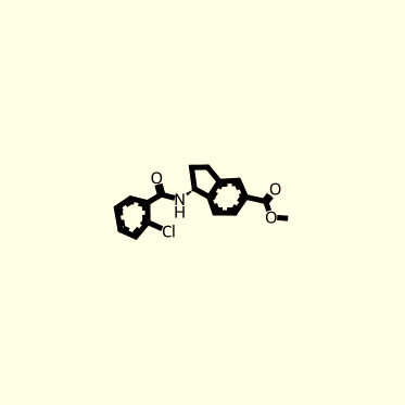 COC(=O)c1ccc2c(c1)CC[C@H]2NC(=O)c1ccccc1Cl